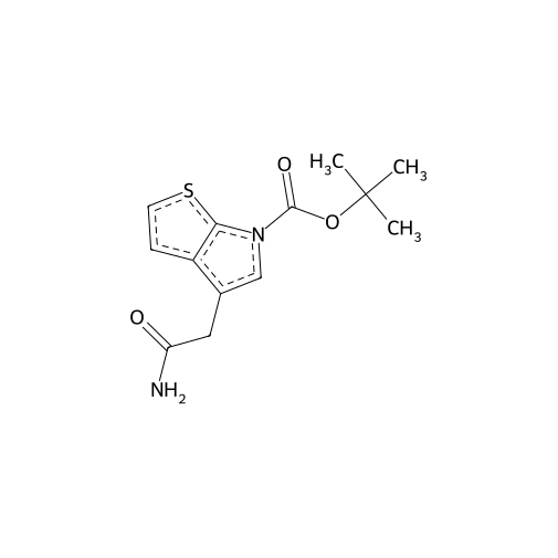 CC(C)(C)OC(=O)n1cc(CC(N)=O)c2ccsc21